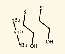 CCC[CH2][Sn+2][CH2]CCC.OCC[S-].OCC[S-]